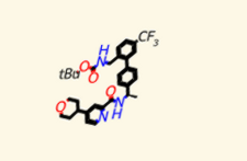 C[C@@H](NC(=O)c1cc(C2CCOCC2)ccn1)c1ccc(-c2cc(C(F)(F)F)ccc2CNC(=O)OC(C)(C)C)cc1